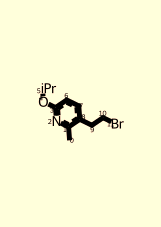 Cc1nc(OC(C)C)ccc1CCBr